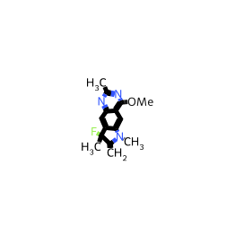 C=C1N(C)c2cc3c(OC)nc(C)nc3cc2C1(C)F